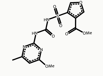 COC(=O)c1cocc1S(=O)(=O)NC(=O)Nc1nc(C)cc(OC)n1